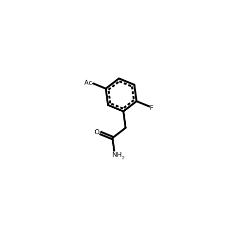 CC(=O)c1ccc(F)c(CC(N)=O)c1